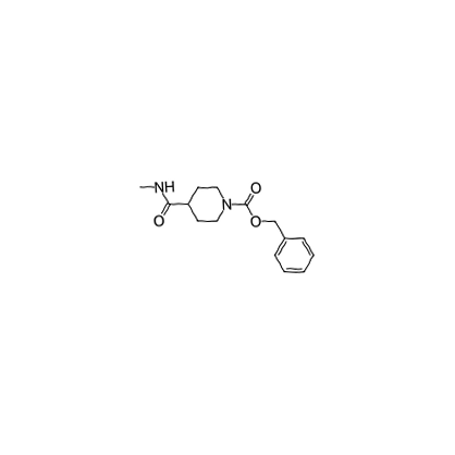 CNC(=O)C1CCN(C(=O)OCc2ccccc2)CC1